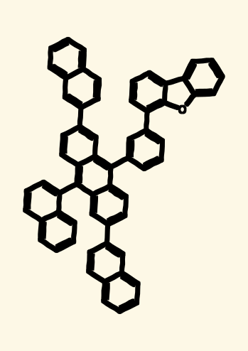 c1cc(-c2c3cc(-c4ccc5ccccc5c4)ccc3c(-c3cccc4ccccc34)c3cc(-c4ccc5ccccc5c4)ccc23)cc(-c2cccc3c2oc2ccccc23)c1